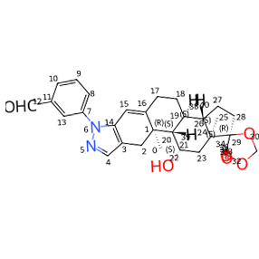 C[C@]12Cc3cnn(-c4cccc(C=O)c4)c3C=C1CC[C@@H]1[C@@H]2[C@@H](O)C[C@@]2(C)[C@H]1CC[C@@]21OCOC12COCO2